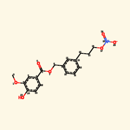 COc1cc(C(=O)OCc2cccc(CCCO[N+](=O)[O-])c2)ccc1O